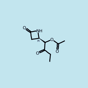 CCC(=O)C(OC(C)=O)[C@H]1CC(=O)N1